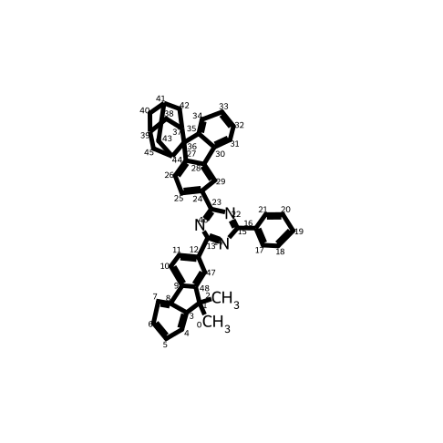 CC1(C)c2ccccc2-c2ccc(-c3nc(-c4ccccc4)nc(-c4ccc5c(c4)-c4ccccc4C54C5CC6CC(C5)CC4C6)n3)cc21